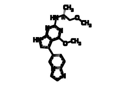 COC[C@@H](C)Nc1nc(OC)c2c(-c3ccc4nccn4c3)c[nH]c2n1